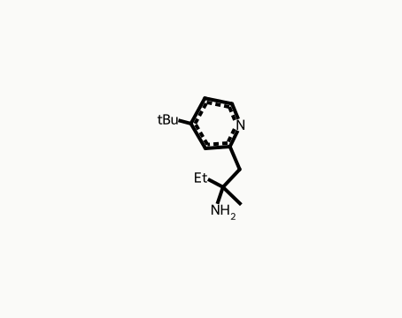 CCC(C)(N)Cc1cc(C(C)(C)C)ccn1